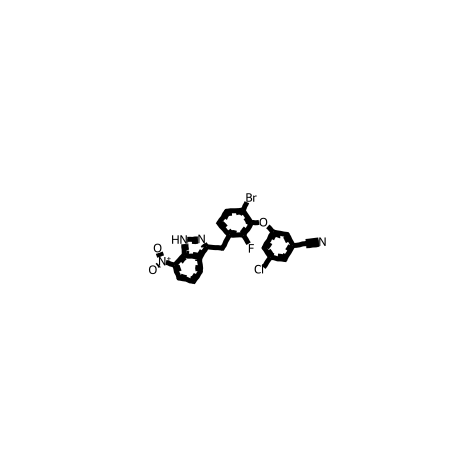 N#Cc1cc(Cl)cc(Oc2c(Br)ccc(Cc3n[nH]c4c([N+](=O)[O-])cccc34)c2F)c1